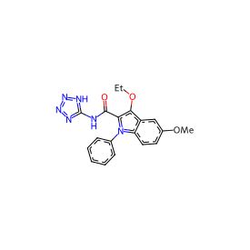 CCOc1c(C(=O)Nc2nnn[nH]2)n(-c2ccccc2)c2ccc(OC)cc12